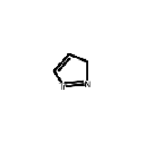 C1=[CH][Ti]=[N]C1